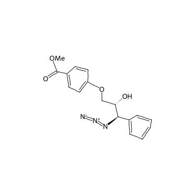 COC(=O)c1ccc(OC[C@H](O)[C@H](N=[N+]=[N-])c2ccccc2)cc1